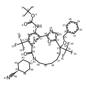 CC(C)(C)OC(=O)Nc1cc(C(F)(F)F)c2nc1-c1nnc(o1)C(OCc1ccccc1)(C(F)(F)F)CCCCCN([C@H]1CC[C@H](C#N)CC1)C2=O